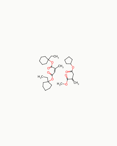 C=C(CC(=O)OC1CCCC1)C(=O)OC.CCC1(OC(=O)/C=C(/C)C(=O)OC2(CC)CCCCC2)CCCCC1